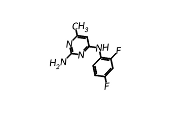 Cc1cc(Nc2ccc(F)cc2F)nc(N)n1